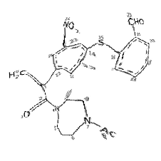 C=C(C(=O)N1CCN(C(C)=O)CC1)c1ccc(Sc2ccccc2C=O)c([N+](=O)[O-])c1